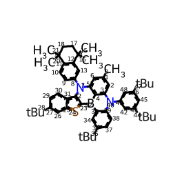 Cc1cc2c3c(c1)N(c1ccc4c(c1)C(C)(C)CCC4(C)C)c1c(sc4cc(C(C)(C)C)ccc14)B3c1cc(C(C)(C)C)ccc1N2c1cc(C(C)(C)C)cc(C(C)(C)C)c1